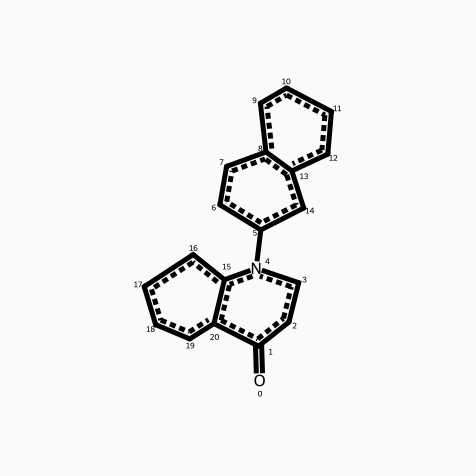 O=c1ccn(-c2ccc3ccccc3c2)c2ccccc12